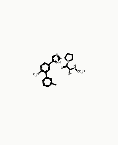 Cc1cccc(-c2cc(-c3cnc([C@@H]4CCCN4C(=O)[C@@H](NC(=O)O)C(C)C)[nH]3)ccc2[N+](=O)[O-])c1